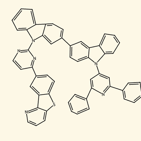 c1ccc(-c2cc(-n3c4ccccc4c4cc(-c5ccc6c7ccccc7n(-c7nccc(-c8ccc9sc%10cccnc%10c9c8)n7)c6c5)ccc43)cc(-c3ccccc3)n2)cc1